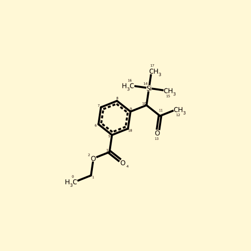 CCOC(=O)c1cccc(C(C(C)=O)[Si](C)(C)C)c1